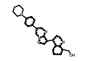 OCc1cccc2c(-c3cnn4cc(-c5ccc(N6CCCCC6)cc5)cnc34)ccnc12